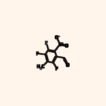 Cc1c(F)c(F)c([N+](=O)[O-])c(C=O)c1F